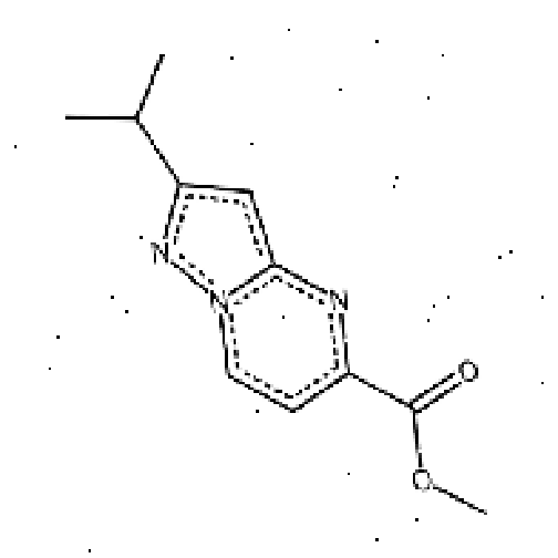 COC(=O)c1ccn2nc(C(C)C)cc2n1